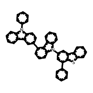 c1ccc(-c2cc(-n3c4ccccc4c4c(-c5ccc6c(c5)c5ccccc5n6-c5ccccc5)cccc43)cc3c2sc2ccccc23)cc1